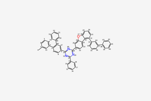 Cc1cccc(-c2ccc(-c3nc(-c4ccccc4)nc(-c4ccc5c(c4)oc4cccc(-c6cccc(-c7ccccc7)c6)c45)n3)cc2-c2ccccc2)c1